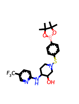 CC1(C)OB(c2ccc(SN3CCC(Nc4ccc(C(F)(F)F)cn4)C(O)C3)cc2)OC1(C)C